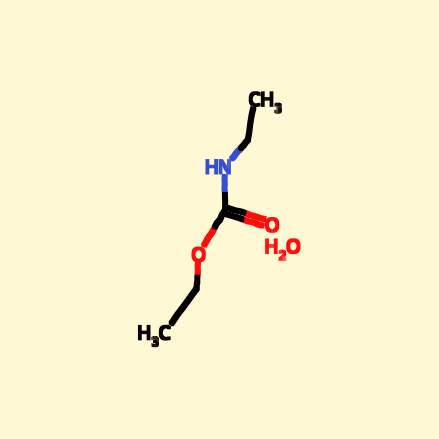 CCNC(=O)OCC.O